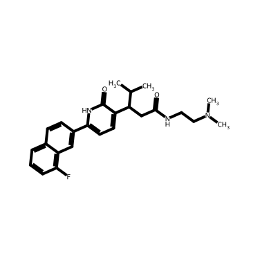 CC(C)C(CC(=O)NCCN(C)C)c1ccc(-c2ccc3cccc(F)c3c2)[nH]c1=O